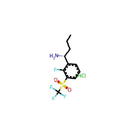 CCC[C@@H](N)c1cccc(S(=O)(=O)C(F)(F)F)c1F.Cl